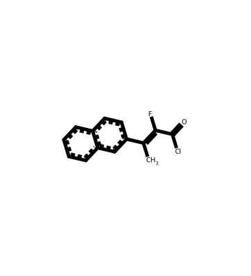 C/C(=C(/F)C(=O)Cl)c1ccc2ccccc2c1